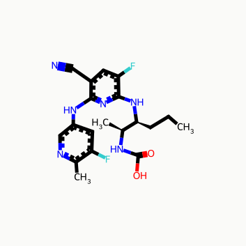 CCC[C@H](Nc1nc(Nc2cnc(C)c(F)c2)c(C#N)cc1F)[C@H](C)NC(=O)O